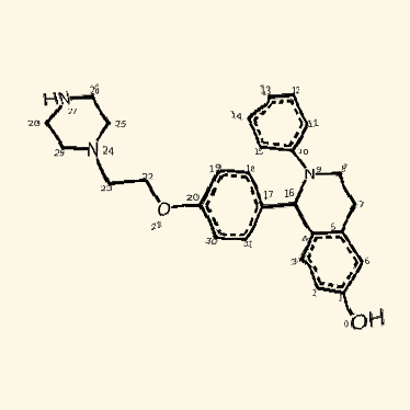 Oc1ccc2c(c1)CCN(c1ccccc1)C2c1ccc(OCCN2CCNCC2)cc1